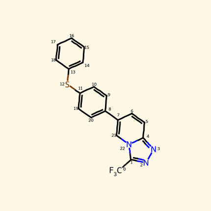 FC(F)(F)c1nnc2ccc(-c3ccc(Sc4ccccc4)cc3)cn12